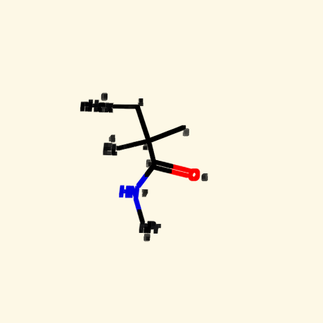 CCCCCCCC(C)(CC)C(=O)NCCC